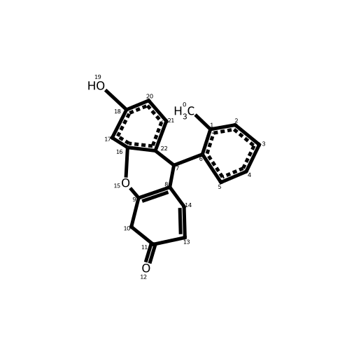 Cc1ccccc1C1C2=C(CC(=O)C=C2)Oc2cc(O)ccc21